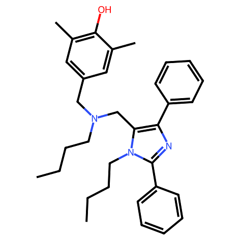 CCCCN(Cc1cc(C)c(O)c(C)c1)Cc1c(-c2ccccc2)nc(-c2ccccc2)n1CCCC